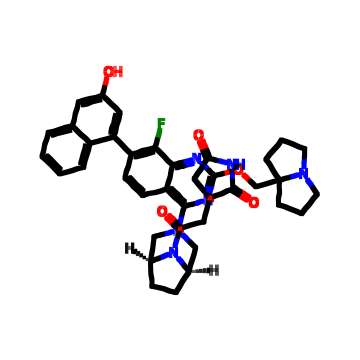 O=C1CC(CC(=O)N2[C@@H]3CC[C@H]2CN(c2nc(OCC45CCCN4CCC5)nc4c(F)c(-c5cc(O)cc6ccccc56)ccc24)C3)C(=O)N1